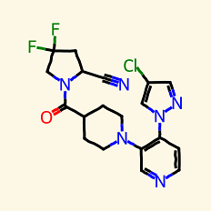 N#CC1CC(F)(F)CN1C(=O)C1CCN(c2cnccc2-n2cc(Cl)cn2)CC1